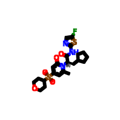 Cc1cc(S(=O)(=O)C2CCOCC2)cc(=O)n1[C@H](CC1CCCC1)C(=O)Nc1ncc(F)s1